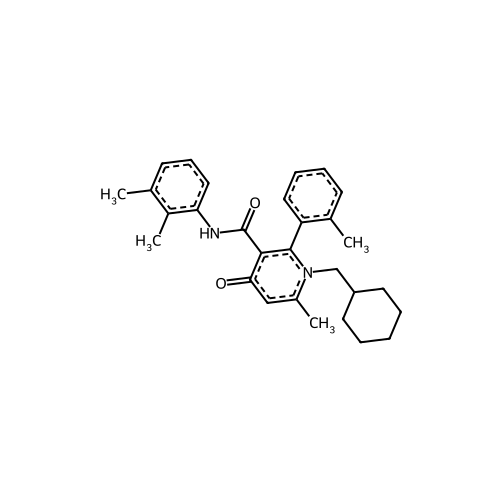 Cc1ccccc1-c1c(C(=O)Nc2cccc(C)c2C)c(=O)cc(C)n1CC1CCCCC1